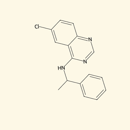 CC(Nc1ncnc2ccc(Cl)cc12)c1ccccc1